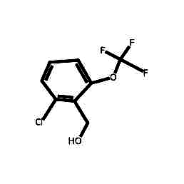 OCc1c(Cl)cccc1OC(F)(F)F